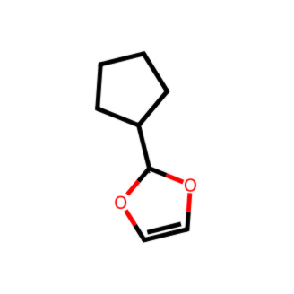 C1=CO[C](C2CCCC2)O1